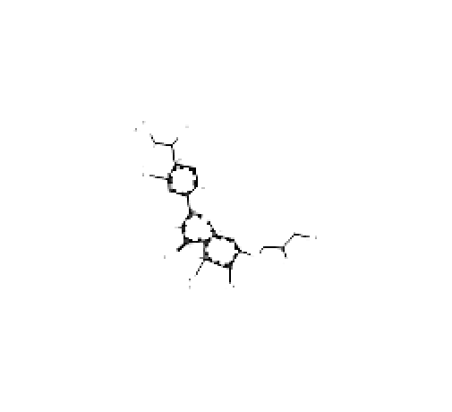 CCCc1c(OCC(O)CO)cc2oc(-c3ccc(C(C)COC)c(O)c3)cc(=O)c2c1O